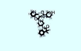 CC1(C)C(=O)N(C2CCN(C(=O)[C@H](Cc3ccccn3)NC(=O)[C@@H]3CCCNC3)CC2)c2ccccc21